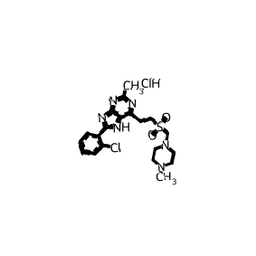 Cc1nc(CCS(=O)(=O)CN2CCN(C)CC2)c2[nH]c(-c3ccccc3Cl)nc2n1.Cl